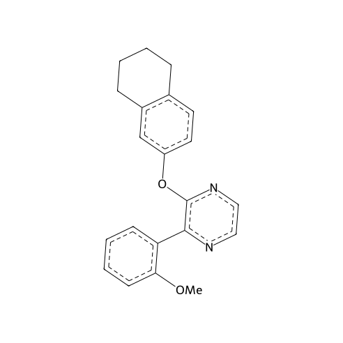 COc1ccccc1-c1nccnc1Oc1ccc2c(c1)CCCC2